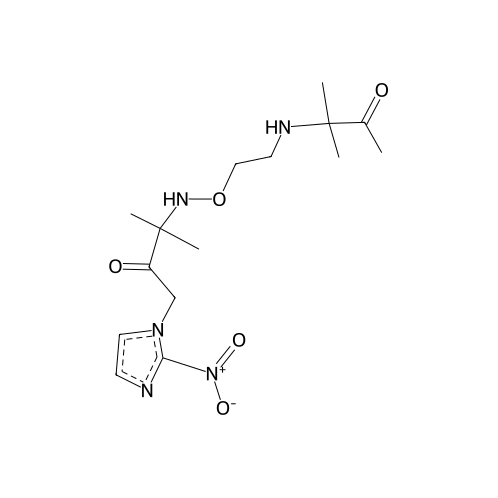 CC(=O)C(C)(C)NCCONC(C)(C)C(=O)Cn1ccnc1[N+](=O)[O-]